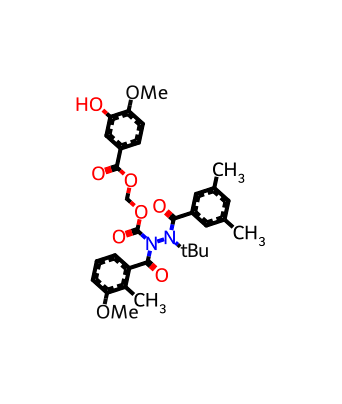 COc1ccc(C(=O)OCOC(=O)N(C(=O)c2cccc(OC)c2C)N(C(=O)c2cc(C)cc(C)c2)C(C)(C)C)cc1O